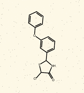 O=C1NC(c2cccc(Oc3ccccc3)c2)SC1Cl